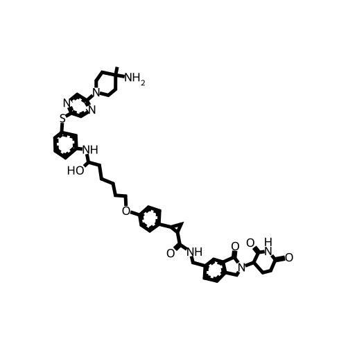 CC1(N)CCN(c2cnc(Sc3cccc(NC(O)CCCCCOc4ccc(C5CC5C(=O)NCc5ccc6c(c5)C(=O)N(C5CCC(=O)NC5=O)C6)cc4)c3)cn2)CC1